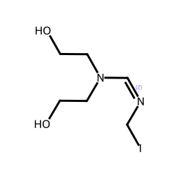 OCCN(/C=N\CI)CCO